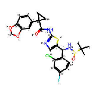 CC(C)(C)[S+]([O-])N[C@H](c1cnc(NC(=O)C2(c3ccc4c(c3)OCO4)CC2)s1)c1ccc(F)cc1Cl